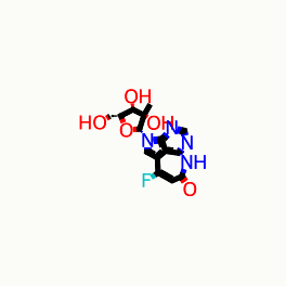 CC1(O)[C@H](O)[C@@H](CO)O[C@H]1n1cc2c3c(ncnc31)NC(=O)C=C2F